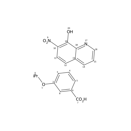 CC(C)Oc1cccc(C(=O)O)c1.O=[N+]([O-])c1ccc2cccnc2c1O